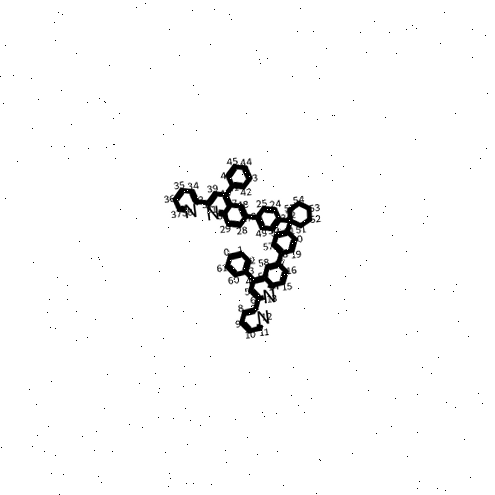 c1ccc(-c2cc(-c3ccccn3)nc3ccc(-c4ccc(C5(c6ccc(-c7ccc8nc(-c9ccccn9)cc(-c9ccccc9)c8c7)cc6)CCCCC5)cc4)cc23)cc1